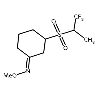 CON=C1CCCC(S(=O)(=O)C(C)C(F)(F)F)C1